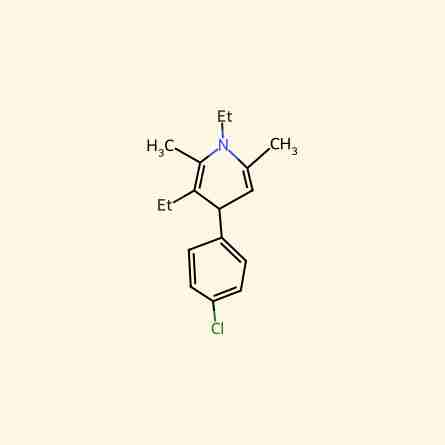 CCC1=C(C)N(CC)C(C)=CC1c1ccc(Cl)cc1